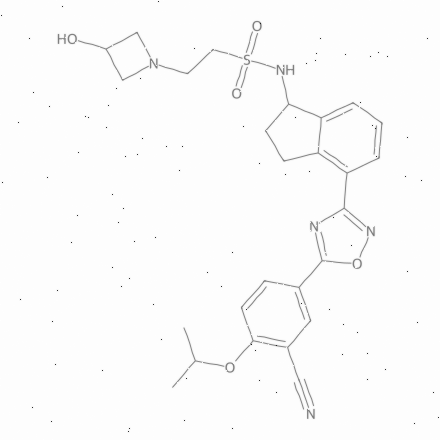 CC(C)Oc1ccc(-c2nc(-c3cccc4c3CCC4NS(=O)(=O)CCN3CC(O)C3)no2)cc1C#N